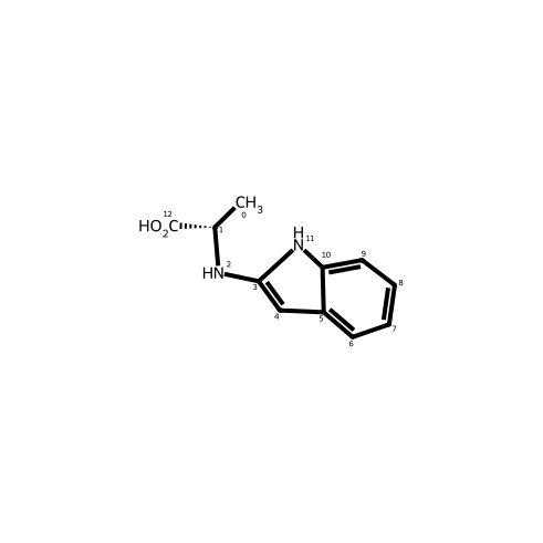 C[C@H](Nc1cc2ccccc2[nH]1)C(=O)O